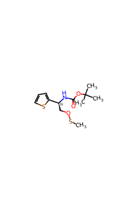 CSOC[C@H](NC(=O)OC(C)(C)C)c1cccs1